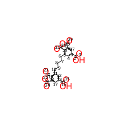 O=C(O)c1cc(CCCCCc2cc(C(=O)O)cc3c2C(=O)OC3=O)c2c(c1)C(=O)OC2=O